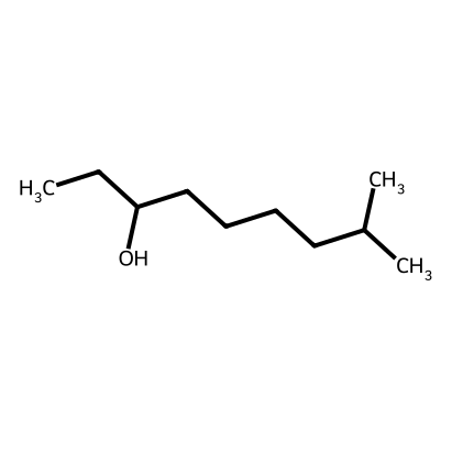 CCC(O)CCCCC(C)C